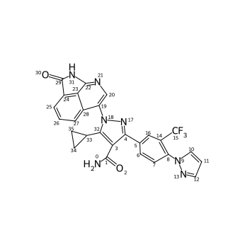 NC(=O)c1c(-c2ccc(-n3cccn3)c(C(F)(F)F)c2)nn(-c2cnc3c4c(cccc24)C(=O)N3)c1C1CC1